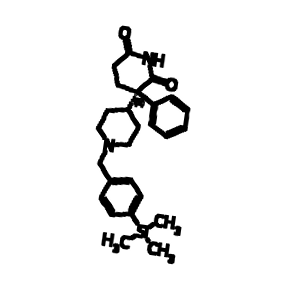 C[Si](C)(C)c1ccc(CN2CCC([C@]3(c4ccccc4)CCC(=O)NC3=O)CC2)cc1